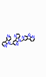 Cn1c2cnc(Cn3c4cccnc4c4cc(Cn5c6ccncc6c6cccnc65)cnc43)cc2c2cccnc21